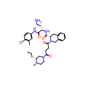 CCC[C@@H]1CN(C(=O)CCC(=O)N2Cc3ccccc3C[C@H]2C(=O)N[C@@H](CCN)C(=O)Nc2ccc(Cl)c(C)c2)CCN1C